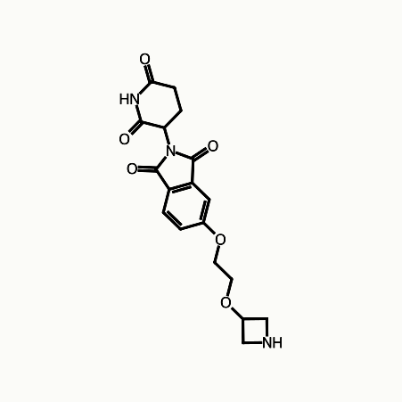 O=C1CCC(N2C(=O)c3ccc(OCCOC4CNC4)cc3C2=O)C(=O)N1